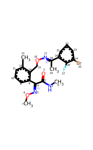 CNC(=O)/C(=N/OC)c1cccc(C)c1CO/N=C(\C)c1cccc(Br)c1F